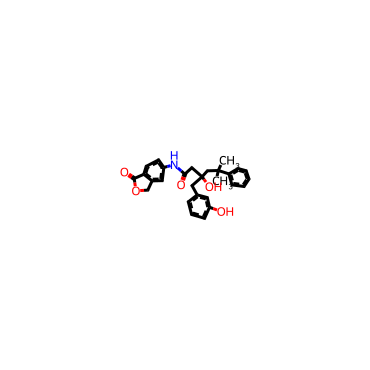 CC(C)(CC(O)(CC(=O)Nc1ccc2c(c1)COC2=O)Cc1cccc(O)c1)c1ccccc1